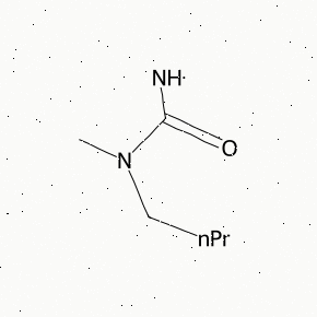 CCCCN(C)C([NH])=O